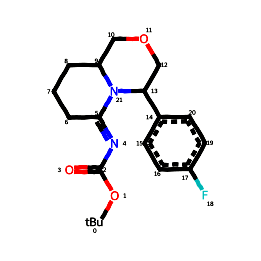 CC(C)(C)OC(=O)/N=C1\CCCC2COCC(c3ccc(F)cc3)N12